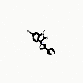 O=C1Nc2cc(F)ccc2/C1=C1/C=C(c2ccoc2)CO1